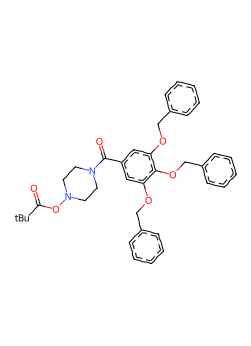 CC(C)(C)C(=O)ON1CCN(C(=O)c2cc(OCc3ccccc3)c(OCc3ccccc3)c(OCc3ccccc3)c2)CC1